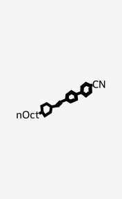 CCCCCCCCC1CCC(C#Cc2ccc(-c3ccc(C#N)cc3)cc2)CC1